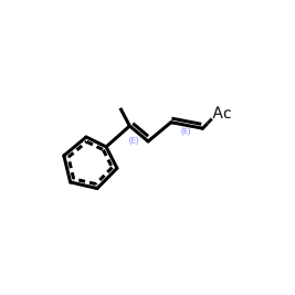 CC(=O)/C=C/C=C(\C)c1ccccc1